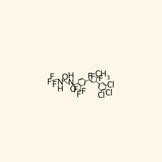 CC(F)(F)C(C=C(F)c1ccc(C(=O)NCC(=O)NCC(F)(F)F)c(C(F)(F)F)c1)c1cc(Cl)c(Cl)c(Cl)c1